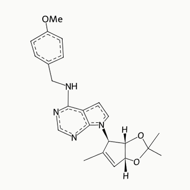 COc1ccc(CNc2ncnc3c2ccn3[C@@H]2C(C)=C[C@H]3OC(C)(C)O[C@@H]23)cc1